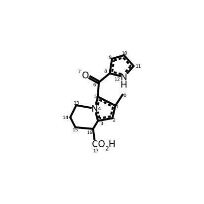 Cc1cc2n(c1C(=O)c1ccc[nH]1)CCCC2C(=O)O